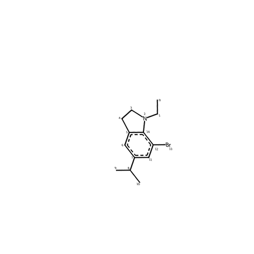 CCN1CCc2cc(C(C)C)cc(Br)c21